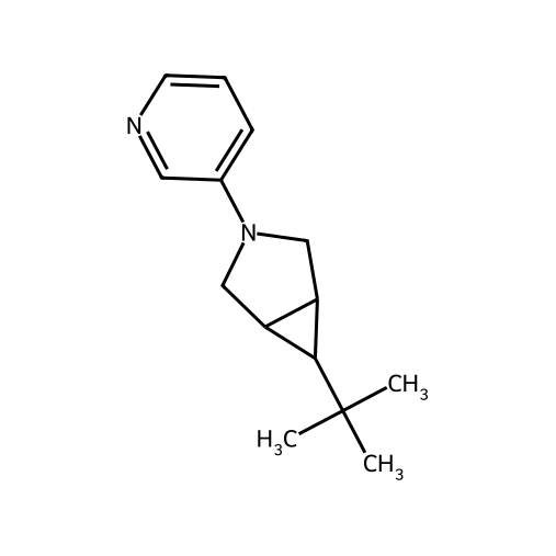 CC(C)(C)C1C2CN(c3cccnc3)CC21